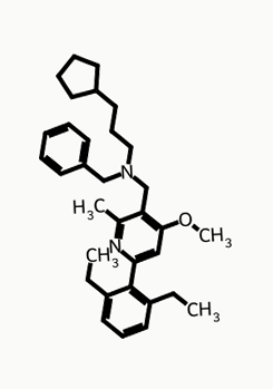 CCc1cccc(CC)c1-c1cc(OC)c(CN(CCCC2CCCC2)Cc2ccccc2)c(C)n1